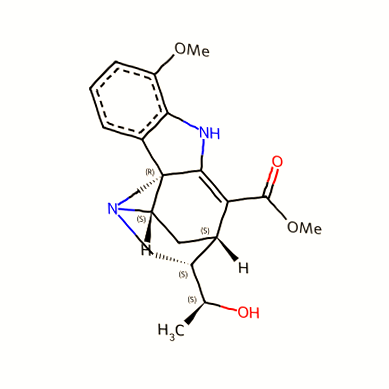 COC(=O)C1=C2Nc3c(OC)cccc3[C@@]23CCN2C[C@@H]([C@H](C)O)[C@@H]1C[C@H]23